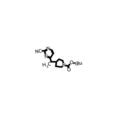 CC(c1ccnc(C#N)n1)C1CCN(C(=O)OC(C)(C)C)CC1